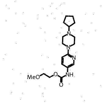 COCCOC(=O)Nc1ccc(N2CCN(C3CCCC3)CC2)nc1